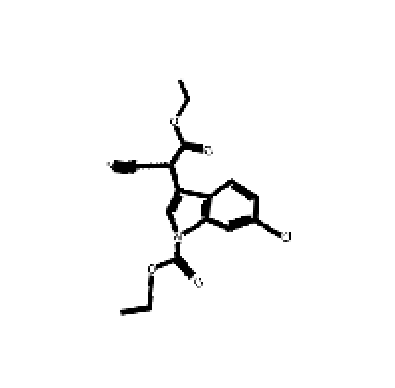 CCOC(=O)C(C#N)c1cn(C(=O)OCC)c2cc(Cl)ccc12